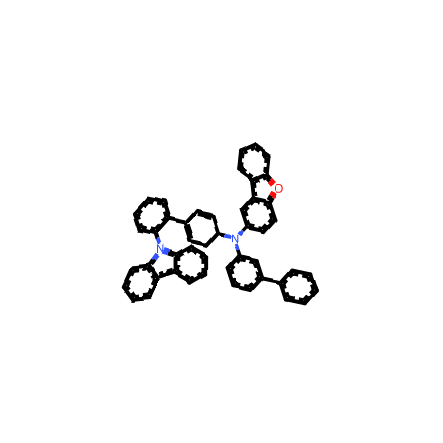 C1=CC(N(c2cccc(-c3ccccc3)c2)c2ccc3oc4ccccc4c3c2)CC=C1c1ccccc1-n1c2ccccc2c2ccccc21